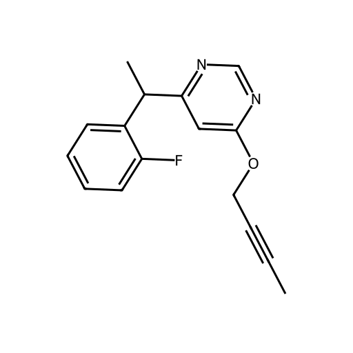 CC#CCOc1cc(C(C)c2ccccc2F)ncn1